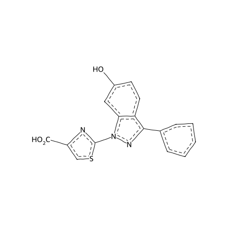 O=C(O)c1csc(-n2nc(-c3ccccc3)c3ccc(O)cc32)n1